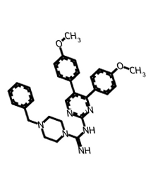 COc1ccc(-c2cnc(NC(=N)N3CCN(Cc4ccccc4)CC3)nc2-c2ccc(OC)cc2)cc1